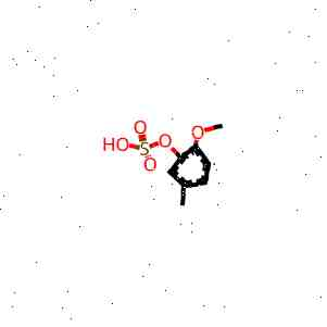 COc1[c]cc(C)cc1OS(=O)(=O)O